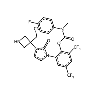 CN(C(=O)Oc1c(-n2ccn(C3(CC#N)CNC3)c2=O)cc(C(F)(F)F)cc1C(F)(F)F)c1ccc(F)cc1